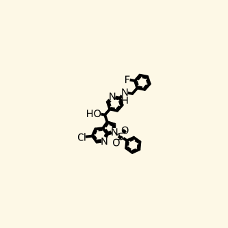 O=S(=O)(c1ccccc1)n1cc(C(O)c2ccc(NCc3ccccc3F)nc2)c2cc(Cl)cnc21